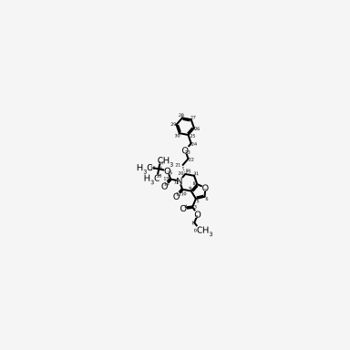 CCOC(=O)c1coc2c1C(=O)N(C(=O)OC(C)(C)C)[C@H](CCOCc1ccccc1)C2